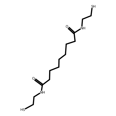 O=C(CCCCCCCC(=O)NCCS)NCCS